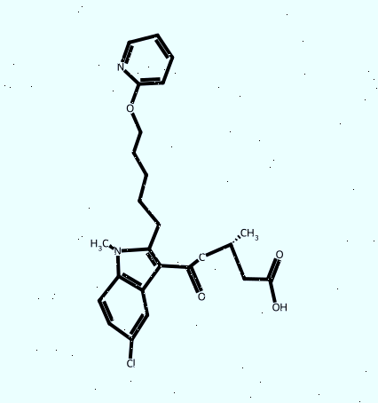 C[C@H](CC(=O)O)CC(=O)c1c(CCCCCOc2ccccn2)n(C)c2ccc(Cl)cc12